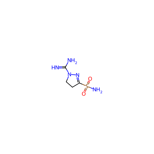 N=C(N)N1CCC(S(N)(=O)=O)=N1